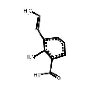 CC=Cc1cccc(C(=O)O)c1N